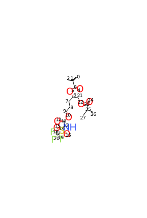 C=C(C)C(=O)OC(CCCOC(=O)NS(=O)(=O)C(F)(F)F)COC(=O)C(C)C